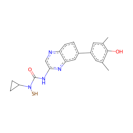 Cc1cc(-c2ccc3ncc(NC(=O)N(S)C4CC4)nc3c2)cc(C)c1O